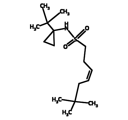 CC(C)(C)C/C=C\CCS(=O)(=O)NC1(C(C)(C)C)CC1